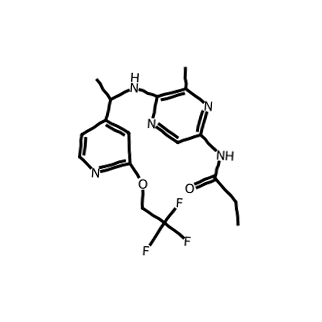 CCC(=O)Nc1cnc(NC(C)c2ccnc(OCC(F)(F)F)c2)c(C)n1